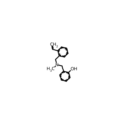 C=Cc1ccccc1CN(C)Cc1ccccc1O